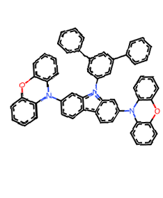 c1ccc(-c2cc(-c3ccccc3)cc(-n3c4cc(N5c6ccccc6Oc6ccccc65)ccc4c4ccc(N5c6ccccc6Oc6ccccc65)cc43)c2)cc1